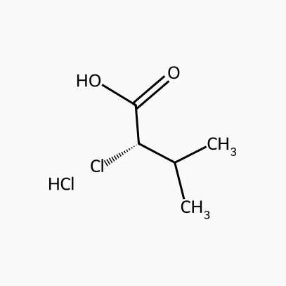 CC(C)[C@H](Cl)C(=O)O.Cl